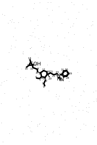 CCC[C@H]1C(CC)[C@@H](CCCC2(O)C(C)C2C)CC[C@]1(C)CCCn1nnc2ccccc21